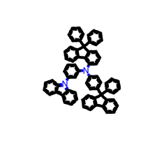 c1ccc(C2(c3ccc(N(c4cccc(-n5c6ccccc6c6ccccc65)c4)c4cccc5c4-c4ccccc4C5(c4ccccc4)c4ccccc4)cc3)c3ccccc3-c3ccccc32)cc1